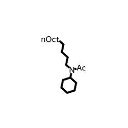 CCCCCCCCCCCCN(C(C)=O)C1CCCCC1